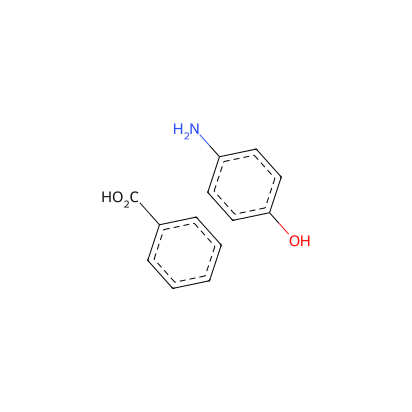 Nc1ccc(O)cc1.O=C(O)c1ccccc1